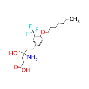 CCCCCCCOc1ccc(CCC(N)(CO)CCC(=O)O)cc1C(F)(F)F